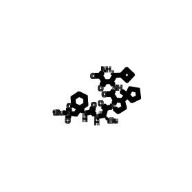 CC1(C2CCN(C(=O)[C@@H](NC(=O)NC3(CS(=O)(=O)C(C)(C)C)CCCCC3)C(C)(C)C)C2C(=O)NC(CC2CCC2)C(=O)C(N)=O)CCCC1